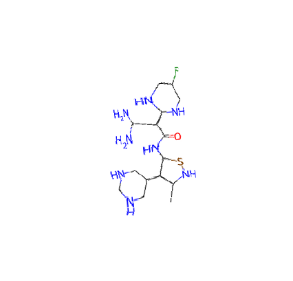 CC1NSC(NC(=O)C(C(N)N)C2NCC(F)CN2)C1C1CNCNC1